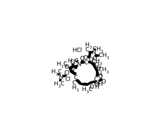 CCN(CC)C(Cl)Cl.COc1cc2cc(c1Cl)N(C)C(=O)C[C@H](OC(=O)[C@H](C)N(C)C(C)=O)[C@]1(C)O[C@H]1[C@H](C)[C@@H]1C[C@@](O)(NC(=O)O1)[C@H](OC)/C=C\C=C(\C)C2.Cl